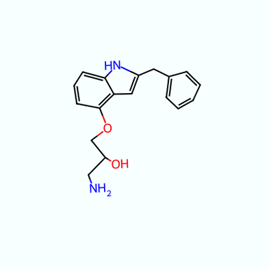 NCC(O)COc1cccc2[nH]c(Cc3ccccc3)cc12